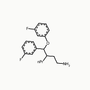 CCCC(CCN)C(Oc1cccc(F)c1)c1cccc(F)c1